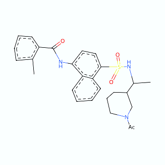 CC(=O)N1CCCC(C(C)NS(=O)(=O)c2ccc(NC(=O)c3ccccc3C)c3ccccc23)C1